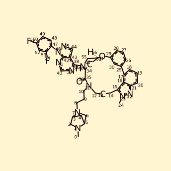 CN1CC2CC1CN2CCCN1CCCc2c3c(cccc3nn2C)-c2cccc(c2)O[C@H]2C[C@@H](C1=O)N(c1ncnc3c1cnn3-c1ccc(F)cc1F)C2